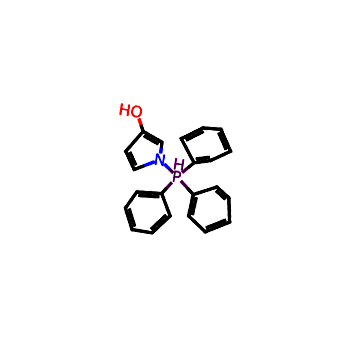 Oc1ccn([PH](c2ccccc2)(c2ccccc2)c2ccccc2)c1